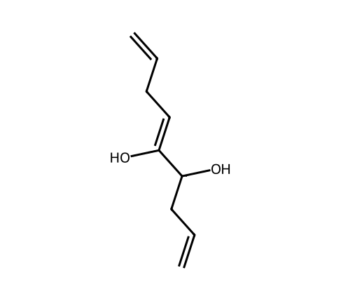 C=CCC=C(O)[C](O)CC=C